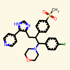 CS(=O)(=O)c1ccc(C(Cc2nc[nH]c2-c2ccncc2)C(c2ccc(F)cc2)N2CCOCC2)cc1